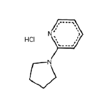 Cl.c1ccc(N2CCCC2)nc1